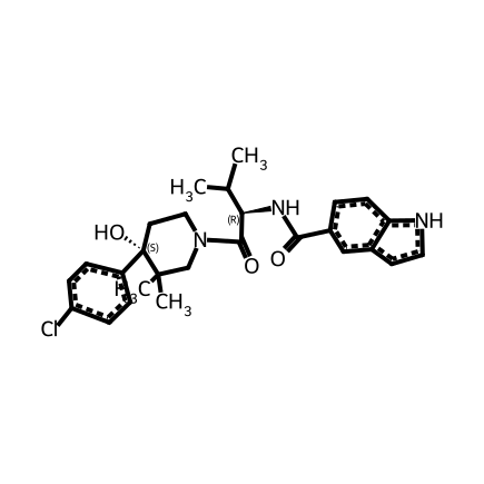 CC(C)[C@@H](NC(=O)c1ccc2[nH]ccc2c1)C(=O)N1CC[C@](O)(c2ccc(Cl)cc2)C(C)(C)C1